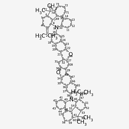 CC(C)c1ccc2c(c1N(c1ccccc1)c1ccc3cc4c(cc3c1)oc1cc3c(cc14)oc1cc4cc(N(c5ccccc5)c5c(C(C)C)ccc6c5-c5ccccc5C6(C)C)ccc4cc13)-c1ccccc1C2(C)C